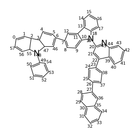 C1=CC2C3C=CC(c4ccc5c(c4)c4ccccc4n5-c4cc(-c5ccc(-c6ccc7ccccc7c6)cc5)c5ccccc5n4)=CC3N(c3ccccc3)C2C=C1